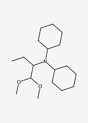 CCC(C(OC)OC)N(C1CCCCC1)C1CCCCC1